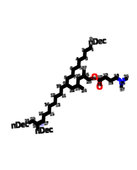 CCCCCCCCCCCCCCCCCCC(CCCCCCC/C=C(/CCCCCCCCCC)CCCCCCCCCCC)CC(C)CC(C)COC(=O)CCCN(C)C